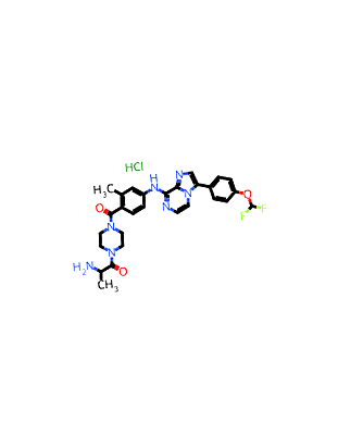 Cc1cc(Nc2nccn3c(-c4ccc(OC(F)F)cc4)cnc23)ccc1C(=O)N1CCN(C(=O)C(C)N)CC1.Cl